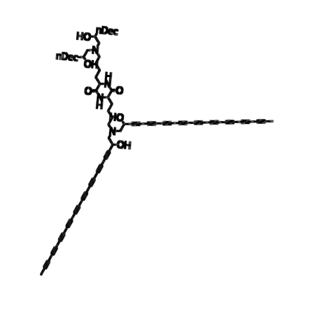 CC#CC#CC#CC#CC#CC#CC#CC#CC#CC(O)CN(CCCCC1NC(=O)C(CCCCN(CC(O)CCCCCCCCCC)CC(O)CCCCCCCCCC)NC1=O)CC(O)C#CC#CC#CC#CC#CC#CC#CC#CC#CC